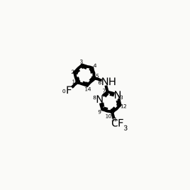 Fc1cccc(Nc2ncc(C(F)(F)F)cn2)c1